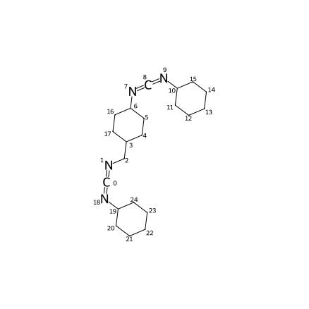 C(=NCC1CCC(N=C=NC2CCCCC2)CC1)=NC1CCCCC1